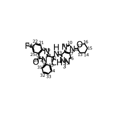 C[C@H](Nc1nncc2c1ncn2C1CCCCO1)c1nc2ccc(F)cc2c(=O)n1-c1ccccc1